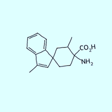 CC1=CC2(CCC(N)(C(=O)O)C(C)C2)c2ccccc21